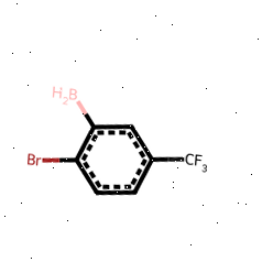 Bc1cc(C(F)(F)F)ccc1Br